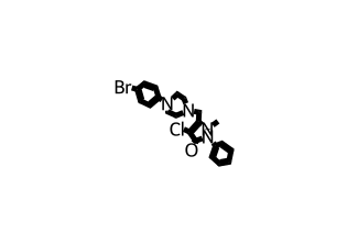 Cn1c(CN2CCN(c3ccc(Br)cc3)CC2)c(Cl)c(=O)n1-c1ccccc1